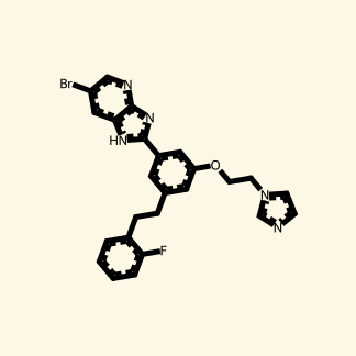 Fc1ccccc1CCc1cc(OCCn2ccnc2)cc(-c2nc3ncc(Br)cc3[nH]2)c1